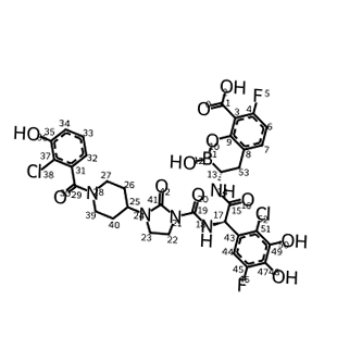 O=C(O)c1c(F)ccc2c1OB(O)[C@@H](NC(=O)[C@H](NC(=O)N1CCN(C3CCN(C(=O)c4cccc(O)c4Cl)CC3)C1=O)c1cc(F)c(O)c(O)c1Cl)C2